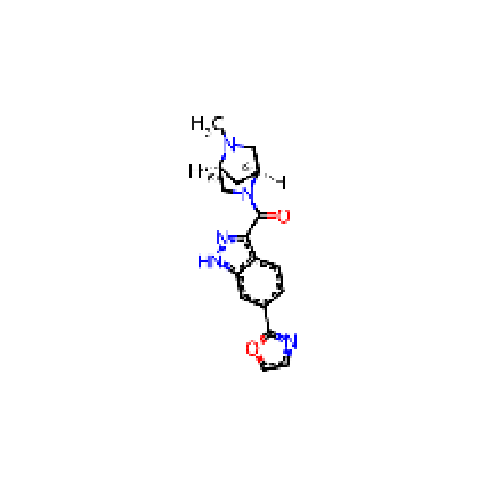 CN1C[C@@H]2C[C@H]1CN2C(=O)c1n[nH]c2cc(-c3ncco3)ccc12